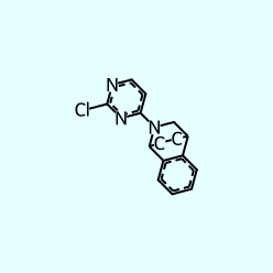 Clc1nccc(N2CC3CCC2c2ccccc23)n1